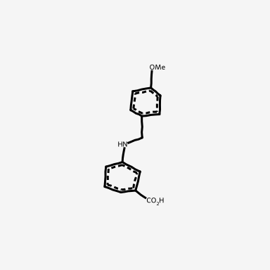 COc1ccc(CNc2cccc(C(=O)O)c2)cc1